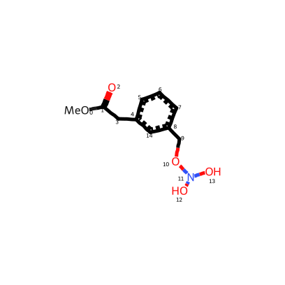 COC(=O)Cc1cccc(CON(O)O)c1